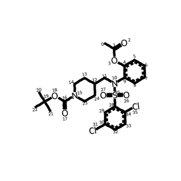 CC(=O)Oc1ccccc1N(CC1CCN(C(=O)OC(C)(C)C)CC1)S(=O)(=O)c1cc(Cl)ccc1Cl